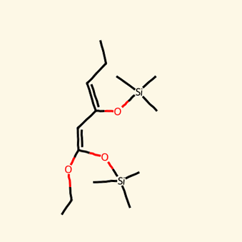 CCC=C(C=C(OCC)O[Si](C)(C)C)O[Si](C)(C)C